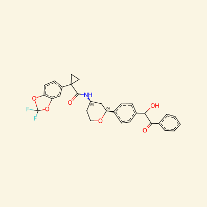 O=C(c1ccccc1)C(O)c1ccc([C@@H]2C[C@H](NC(=O)C3(c4ccc5c(c4)OC(F)(F)O5)CC3)CCO2)cc1